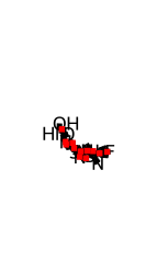 CCc1nc2sc(C3CCN(CC(=O)NCCO)CC3)cn2c1N(CC)c1nc(-c2ccc(F)cc2)c(C#N)s1